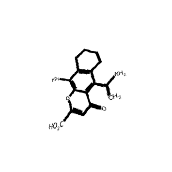 CCCc1c2c(c(C(C)N)c3c(=O)cc(C(=O)O)oc13)CCCC2